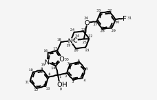 OC(c1ccccc1)(c1ccccc1)c1ncc(C[N+]23CCC(CC2)C(Oc2ccc(F)cc2)C3)o1